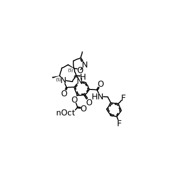 CCCCCCCCC(=O)Oc1c2n(cc(C(=O)NCc3ccc(F)cc3F)c1=O)[C@@H]1CN(C2=O)[C@@H](C)CC[C@]12CC(C)=NO2